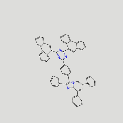 c1ccc(-c2cc(-c3ccccc3)c3nc(-c4ccccc4)c(-c4ccc(-c5nc(-c6cc7ccccc7c7ccccc67)nc(-c6cc7ccccc7c7ccccc67)n5)cc4)n3c2)cc1